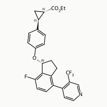 CCOC(=O)[C@H]1C[C@@H]1c1ccc(O[C@@H]2CCc3c(-c4ccncc4C(F)(F)F)ccc(F)c32)cc1